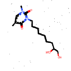 Cc1cn(C)c(=O)n(CCCCCCCC(O)CO)c1=O